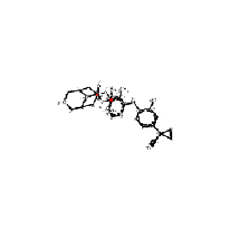 Cc1c(Nc2ccc(C3(C#N)CC3)cc2Cl)ncnc1OC1CC2COCC(C1)N2C(=O)OC(C)(C)C